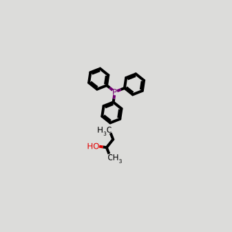 CCC(C)O.c1ccc(P(c2ccccc2)c2ccccc2)cc1